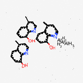 Cc1ccnc2c(O)cccc12.Cc1ccnc2c(O)cccc12.Cc1ccnc2c(O)cccc12.[AlH3].[AlH3].[AlH3]